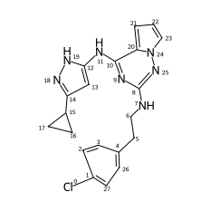 Clc1ccc(CCNc2nc(Nc3cc(C4CC4)n[nH]3)c3cccn3n2)cc1